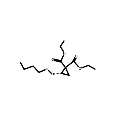 CCCCOC[C@H]1CC1(C(=O)OCC)C(=O)OCC